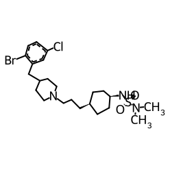 CN(C)S(=O)(=O)N[C@H]1CC[C@@H](CCCN2CCC(Cc3cc(Cl)ccc3Br)CC2)CC1